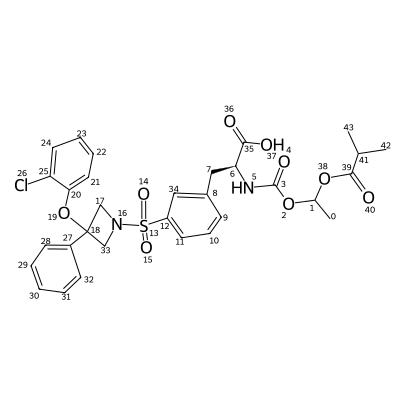 CC(OC(=O)N[C@@H](Cc1cccc(S(=O)(=O)N2CC(Oc3ccccc3Cl)(c3ccccc3)C2)c1)C(=O)O)OC(=O)C(C)C